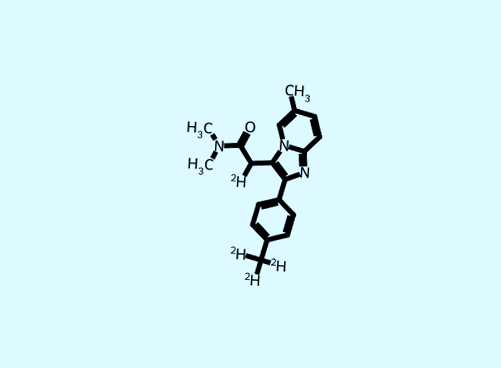 [2H]C(C(=O)N(C)C)c1c(-c2ccc(C([2H])([2H])[2H])cc2)nc2ccc(C)cn12